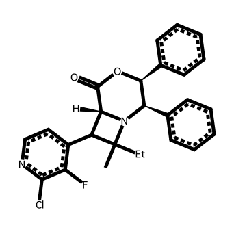 CCC1(C)C(c2ccnc(Cl)c2F)[C@@H]2C(=O)O[C@@H](c3ccccc3)[C@@H](c3ccccc3)N21